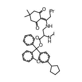 CC(C)CC(NCC(NI)C(=O)OC(c1ccccc1)(c1ccc(C2CCCC2)cc1)c1ccccc1Cl)=C1C(=O)CC(C)(C)CC1=O